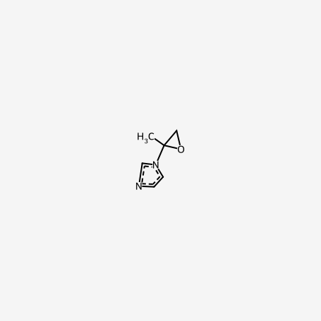 CC1(n2ccnc2)CO1